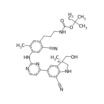 Cc1cc(CCCNC(=O)OC(C)(C)C)c(C#N)cc1Nc1nccc(-c2cc(C#N)c3c(c2)[C@@](C)(CO)CN3)n1